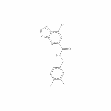 CC(=O)c1cc(C(=O)NCc2ccc(F)c(F)c2)nc2ccnn12